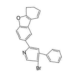 Brc1cnc(-c2ccc3oc4c(c3c2)C=CCC4)cc1-c1ccccc1